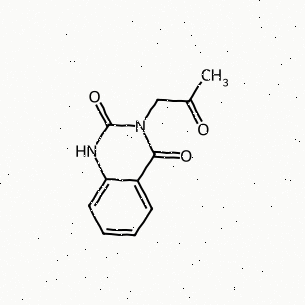 CC(=O)Cn1c(=O)[nH]c2ccccc2c1=O